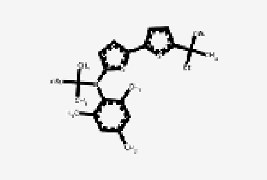 CCCCC(C)(C)B(c1ccc(-c2ccc(C(C)(CC)CCCC)s2)s1)c1c(C)cc(C)cc1C